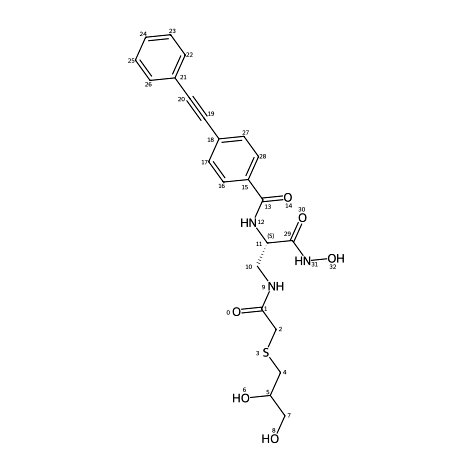 O=C(CSCC(O)CO)NC[C@H](NC(=O)c1ccc(C#Cc2ccccc2)cc1)C(=O)NO